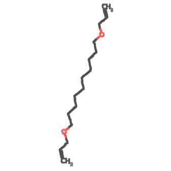 C=CCOCCCCCCCCCCOCC=C